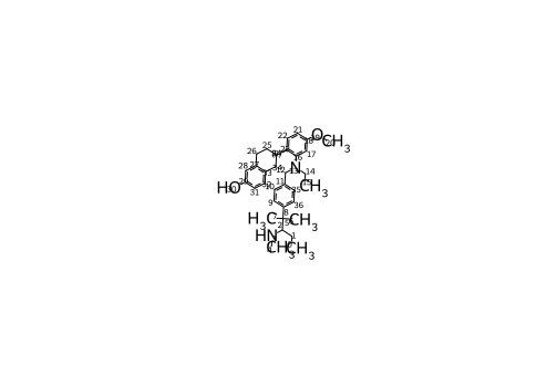 CCC(NC)C(C)(C)c1ccc(CN(CC)c2cc(OC)ccc2[C@@H]2CCc3cc(O)ccc3C2)cc1